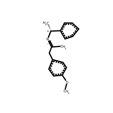 COc1ccc(C/C(C)=N/[C@H](C)c2ccccc2)cc1